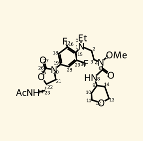 CCN(CCN(OC)C(=O)NC1CCOCC1)c1c(F)cc(N2C[C@H](CNC(C)=O)OC2=O)cc1F